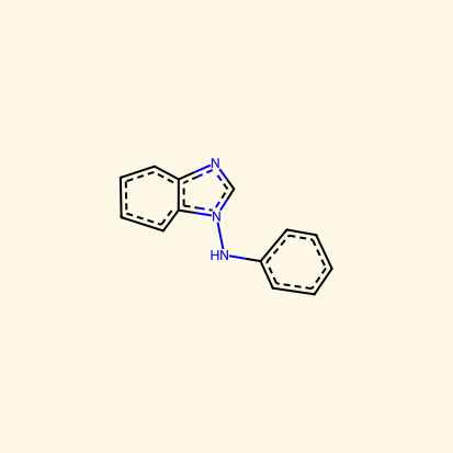 c1ccc(Nn2cnc3ccccc32)cc1